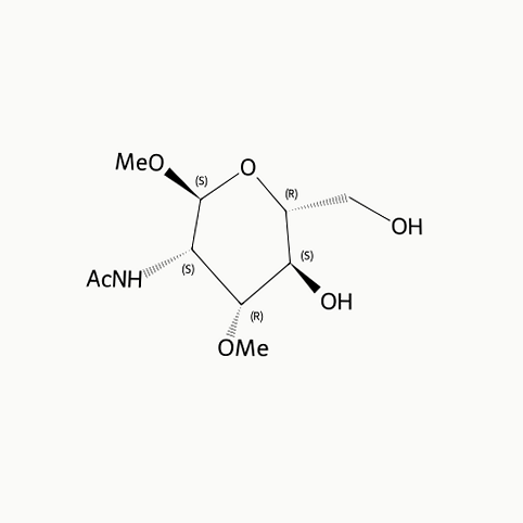 CO[C@H]1O[C@H](CO)[C@@H](O)[C@H](OC)[C@@H]1NC(C)=O